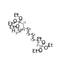 CCOC(CCSSSSC([SiH3])CC(OCC)(OCC)OCC)(OCC)OCC